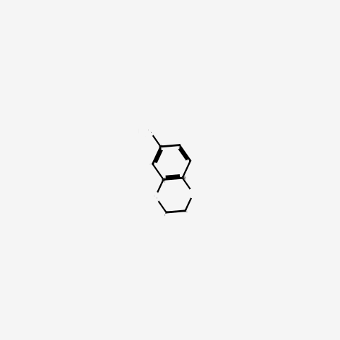 Nc1ccc2c(c1)NC[CH]O2